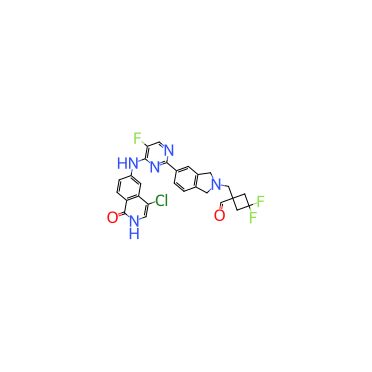 O=CC1(CN2Cc3ccc(-c4ncc(F)c(Nc5ccc6c(=O)[nH]cc(Cl)c6c5)n4)cc3C2)CC(F)(F)C1